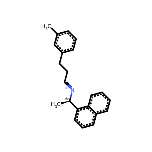 Cc1cccc(CC/C=N/[C@H](C)c2cccc3ccccc23)c1